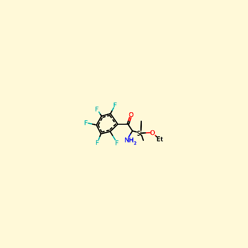 CCO[Si](C)(C)C(N)C(=O)c1c(F)c(F)c(F)c(F)c1F